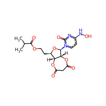 CC(C)C(=O)OCC[C@H]1O[C@@H](n2ccc(NO)nc2=O)[C@@H]2OC(=O)CC(=O)O[C@@H]21